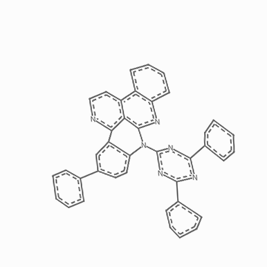 c1ccc(-c2ccc3c(c2)-c2nccc4c2c(nc2ccccc24)N3c2nc(-c3ccccc3)nc(-c3ccccc3)n2)cc1